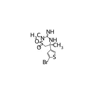 CN1C(=N)N[C@](C)(c2csc(Br)c2)CS1(=O)=O